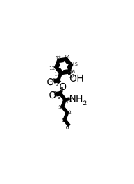 CCCCC(N)C(=O)OC(=O)c1ccccc1O